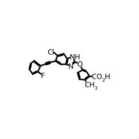 Cc1ccc(Oc2nc3cc(C#Cc4ccccc4F)c(Cl)cc3[nH]2)cc1C(=O)O